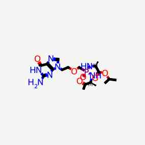 CC(=O)[C@H](C)NP(=O)(COCCn1cnc2c(=O)[nH]c(N)nc21)N[C@@H](C)C(=O)OC(C)C